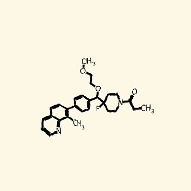 CCC(=O)N1CCC(F)(C(OCCOC)c2ccc(-c3ccc4cccnc4c3C)cc2)CC1